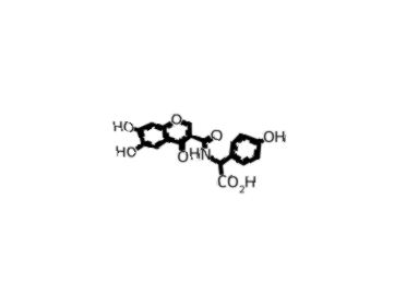 O=C(NC(C(=O)O)c1ccc(O)cc1)c1coc2cc(O)c(O)cc2c1=O